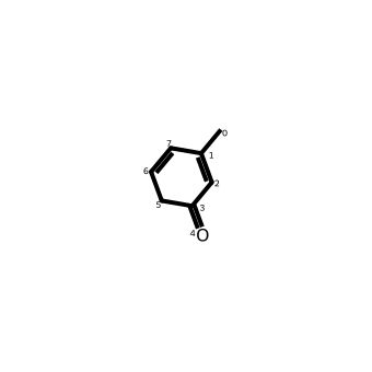 CC1=CC(=O)CC=C1